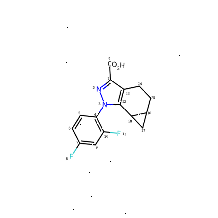 O=C(O)c1nn(-c2ccc(F)cc2F)c2c1CCC1CC21